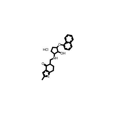 Cc1cc2c(s1)CCC(CNC1CCC(Oc3cccc4ccccc34)C1O)C2=O.Cl